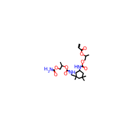 C=CC(=O)OC(C)COC(=O)NC1CC(C)(C)CC(C)(CNC(=O)OC(C)COC(N)=O)C1